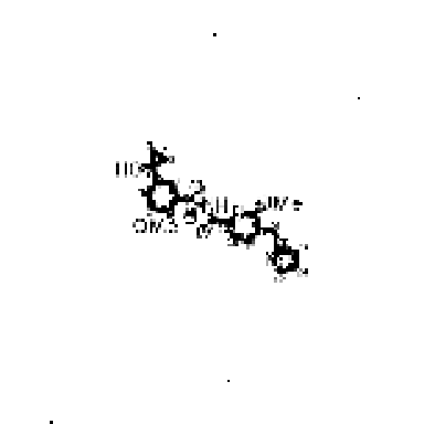 COc1ccc(C2(O)CC2)cc1S(=O)(=O)NC(=O)c1ccc(Cn2cccn2)c(OC)n1